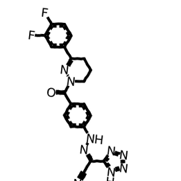 N#CC(=NNc1ccc(C(=O)N2CCCC(c3ccc(F)c(F)c3)=N2)cc1)c1nnn[nH]1